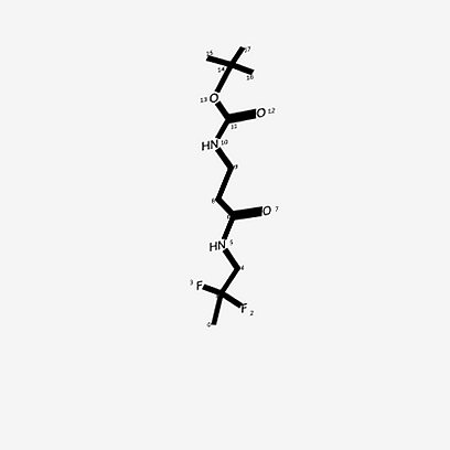 CC(F)(F)CNC(=O)CCNC(=O)OC(C)(C)C